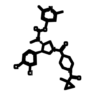 Cc1cc(OC(=O)N(C)[C@@H]2CN(C(=O)C3CCN(C(=O)C4(C)CC4)CC3)C[C@H]2c2ccc(Cl)c(Cl)c2)cc(C)n1